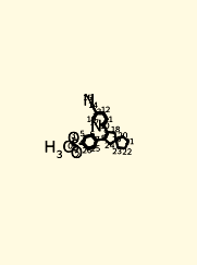 CS(=O)(=O)c1ccc(C2=C(c3ccc(C#N)cn3)CC3(CCCC3)C2)cc1